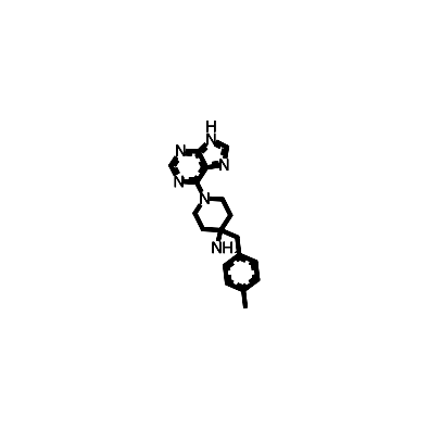 Cc1ccc(CC2(N)CCN(c3ncnc4[nH]cnc34)CC2)cc1